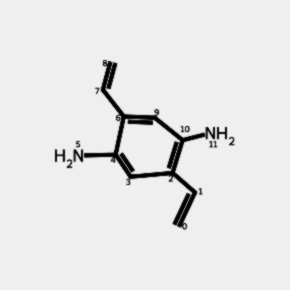 C=Cc1cc(N)c(C=C)cc1N